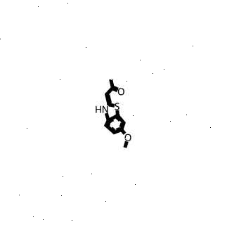 COc1ccc2c(c1)S/C(=C\C(C)=O)N2